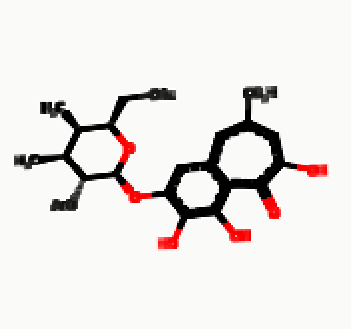 CC(=O)OC[C@H]1O[C@@H](Oc2cc3cc(C(=O)O)cc(O)c(=O)c3c(O)c2O)[C@H](OC(C)=O)[C@@H](C)[C@H]1C